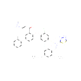 COc1ccc(CN(c2nncs2)S(=O)(=O)c2cc(Cl)c(Oc3ccc(-c4ccccc4C(F)(F)F)cc3C(=O)/C=C/N(C)C)cc2F)c(OC)c1